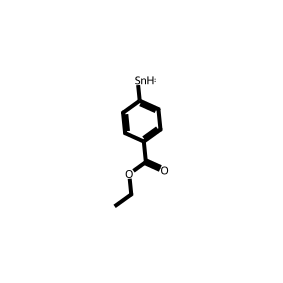 CCOC(=O)c1cc[c]([SnH])cc1